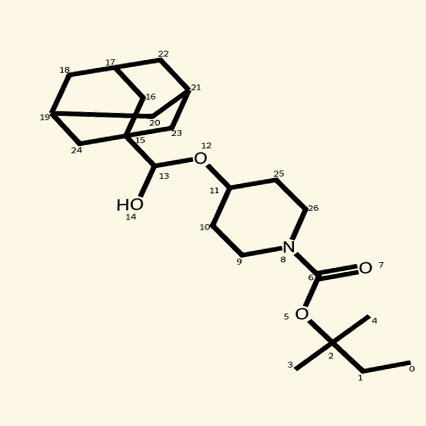 CCC(C)(C)OC(=O)N1CCC(OC(O)C23CC4CC(CC(C4)C2)C3)CC1